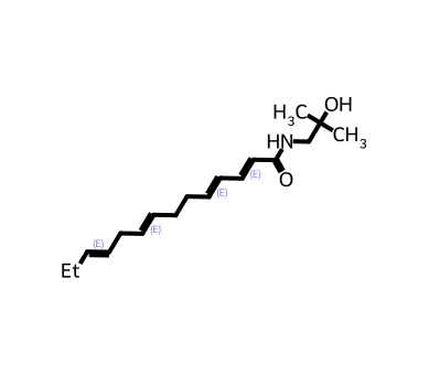 CC/C=C/C/C=C/CC/C=C/C=C/C(=O)NCC(C)(C)O